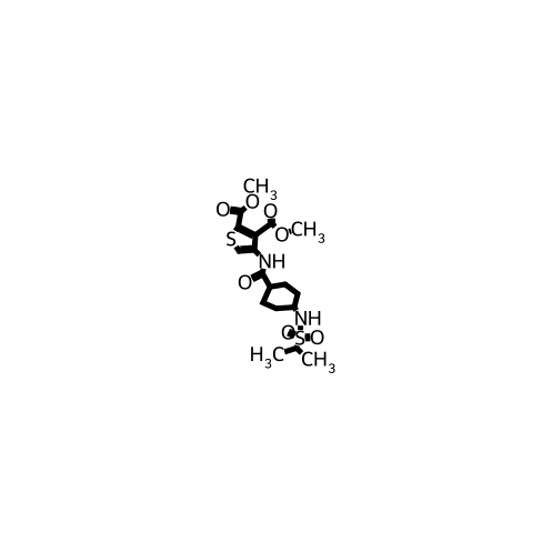 COC(=O)c1scc(NC(=O)C2CCC(NS(=O)(=O)C(C)C)CC2)c1C(=O)OC